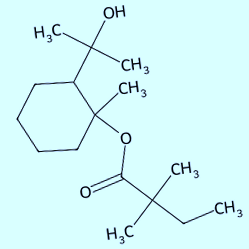 CCC(C)(C)C(=O)OC1(C)CCCCC1C(C)(C)O